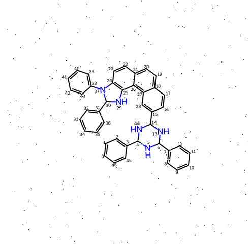 c1ccc(C2NC(c3ccccc3)NC(c3ccc4ccc5ccc6c(c5c4c3)NC(c3ccccc3)N6c3ccccc3)N2)cc1